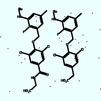 CCC(C)Nc1cc(C)cc(COc2c(Cl)cc(C(=O)NCC(=O)O)cc2Cl)c1F.CCC(C)Nc1cc(C)cc(COc2c(Cl)cc(CC(=O)O)cc2Cl)c1F